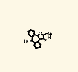 CNCC1OC2c3ccccc3C(O)c3ccccc3C2C1F